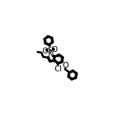 CCCc1cc2c(Cl)c(OCc3ccccc3)ccc2n1S(=O)(=O)c1ccccc1